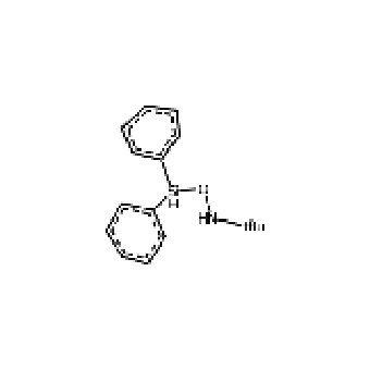 CC(C)(C)NO[SiH](c1ccccc1)c1ccccc1